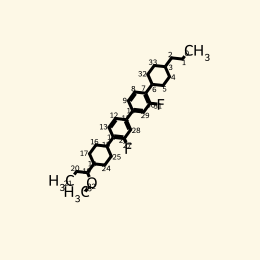 CCCC1CCC(c2ccc(-c3ccc(C4CCC(C(CC)OC)CC4)c(F)c3)cc2F)CC1